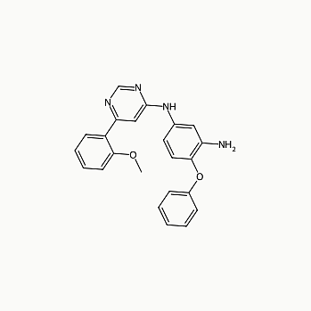 COc1ccccc1-c1cc(Nc2ccc(Oc3ccccc3)c(N)c2)ncn1